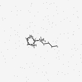 CCCC[SiH2]c1ncc[nH]1